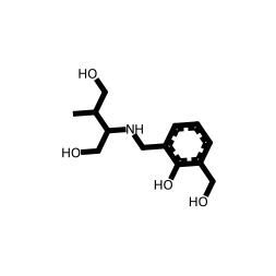 CC(CO)C(CO)NCc1cccc(CO)c1O